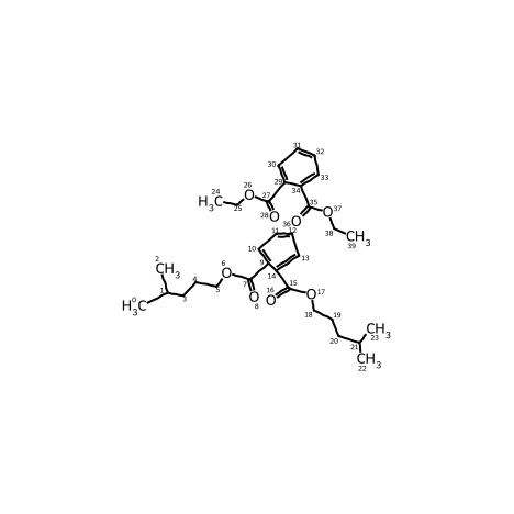 CC(C)CCCOC(=O)c1ccccc1C(=O)OCCCC(C)C.CCOC(=O)c1ccccc1C(=O)OCC